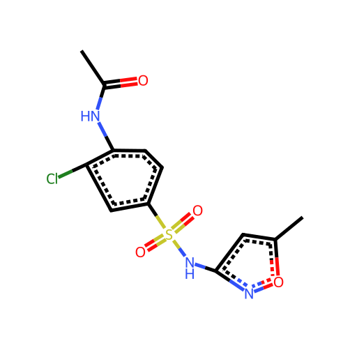 CC(=O)Nc1ccc(S(=O)(=O)Nc2cc(C)on2)cc1Cl